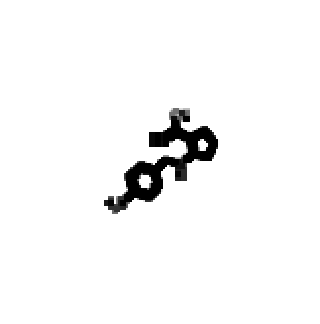 Bc1ccc(CNC2=C(C(=N)C#N)CCC2)cc1